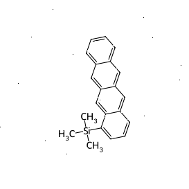 C[Si](C)(C)c1cccc2cc3cc4ccccc4cc3cc12